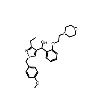 CCc1nn(Cc2ccc(OC)cc2)cc1C(O)c1ccccc1OCCN1CCOCC1